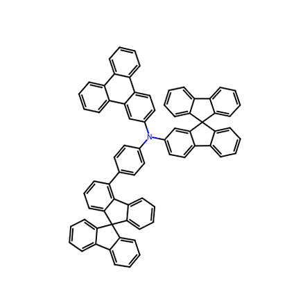 c1ccc2c(c1)-c1ccccc1C21c2ccccc2-c2ccc(N(c3ccc(-c4cccc5c4-c4ccccc4C54c5ccccc5-c5ccccc54)cc3)c3ccc4c5ccccc5c5ccccc5c4c3)cc21